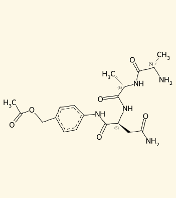 CC(=O)OCc1ccc(NC(=O)[C@H](CC(N)=O)NC(=O)[C@H](C)NC(=O)[C@H](C)N)cc1